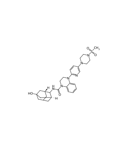 CS(=O)(=O)N1CCN(c2ccc(N3CCN(C(=O)NC4[C@@H]5CC6C[C@H]4CC(O)(C6)C5)c4ccccc43)nc2)CC1